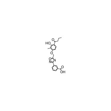 CCCC(=O)c1ccc(OCc2nc(-c3cccc(C(=O)O)c3)no2)c(C)c1O